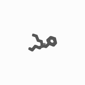 CCCC[S+](CCCC)Cc1ccccc1